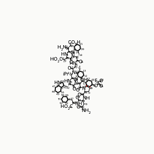 CC(C)[C@H](NC(=O)[C@@H](Cc1ccc(O)cc1)NC(=O)[C@@H](Cc1ccccc1)NC(=O)[C@@H](CC(=O)O)NC(=O)[C@@H](N)CC(=O)O)C(=O)N[C@@H](Cc1c[nH]c2ccccc12)C(=O)N[C@@H](Cc1ccc(OS(=O)(=O)F)cc1)C(=O)N1CCC[C@H]1C(=O)N[C@@H](CC(N)=O)C(=O)N[C@@H](Cc1ccccc1)C(=O)O